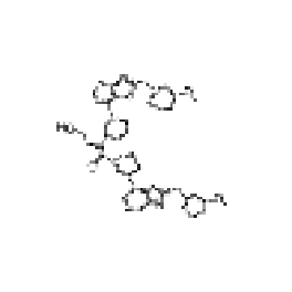 COc1cccc(Cn2cc3c(-c4cccc(C(=O)N(CCO)c5cccc(-c6cccc7nn(Cc8cccc(OC)c8)cc67)c5)c4)cccc3n2)c1